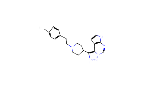 N#Cc1ccc(CCN2CCC(C3=C4c5cc[nH]c5N=CN4NN3)CC2)cc1